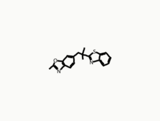 Cc1nc2ccc(CC(C)(C)c3nc4ccccc4s3)cc2o1